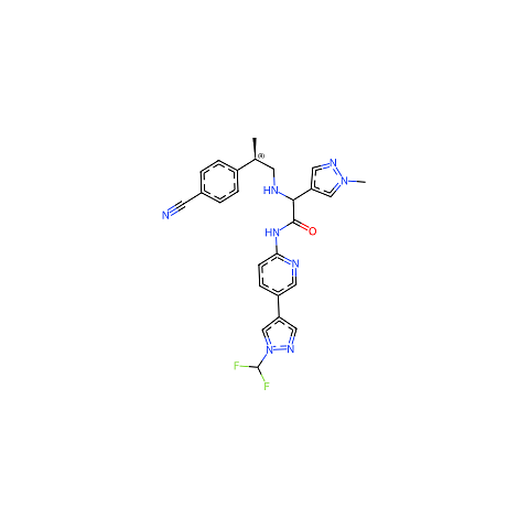 C[C@@H](CNC(C(=O)Nc1ccc(-c2cnn(C(F)F)c2)cn1)c1cnn(C)c1)c1ccc(C#N)cc1